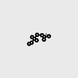 c1cc(-c2ccc3c(c2)c2ccccc2c2c4ccccc4sc32)cc(-c2c3ccccc3c(-c3ccc4ccccc4c3)c3ccccc23)c1